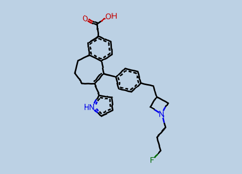 O=C(O)c1ccc2c(c1)CCCC(c1ccc[nH]1)=C2c1ccc(CC2CN(CCCF)C2)cc1